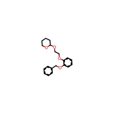 c1ccc(COc2ccccc2OCCOC2CCCCO2)cc1